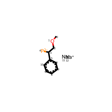 COCC([P-2])c1ccccc1.[Na+].[Na+]